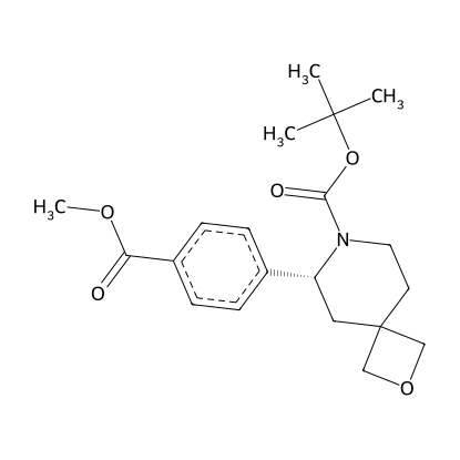 COC(=O)c1ccc([C@H]2CC3(CCN2C(=O)OC(C)(C)C)COC3)cc1